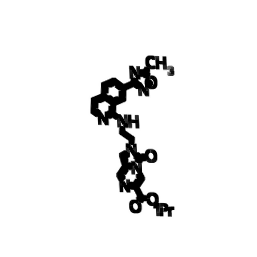 Cc1nc(-c2ccc3ccnc(NCCn4cc5cnc(C(=O)OC(C)C)cn5c4=O)c3c2)no1